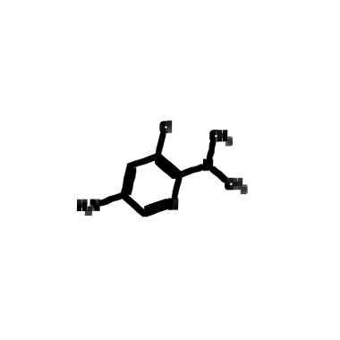 CN(C)c1ncc(N)cc1Cl